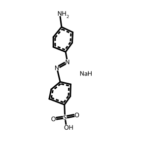 Nc1ccc(N=Nc2ccc(S(=O)(=O)O)cc2)cc1.[NaH]